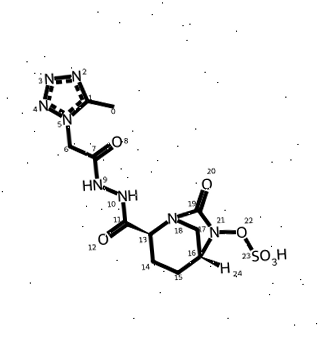 Cc1nnnn1CC(=O)NNC(=O)[C@@H]1CC[C@@H]2CN1C(=O)N2OS(=O)(=O)O